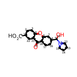 O=C(O)c1ccc2oc3cc(C(O)n4cccc4)ccc3c(=O)c2c1